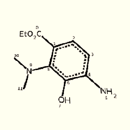 CCOC(=O)c1ccc(N)c(O)c1N(C)C